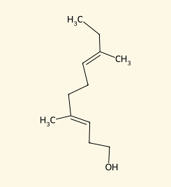 CCC(C)=CCCC(C)=CCCO